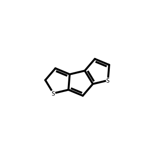 C1=C2SCC=C2c2ccsc21